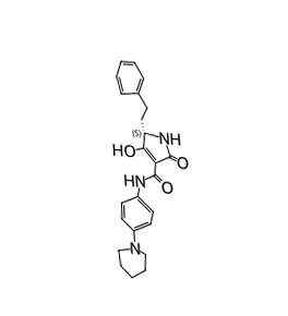 O=C(Nc1ccc(N2CCCCC2)cc1)C1=C(O)[C@H](CCc2ccccc2)NC1=O